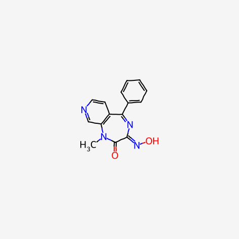 Cn1c(=O)/c(=N/O)nc(-c2ccccc2)c2ccncc21